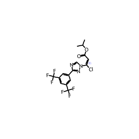 CC(C)OC(=O)/C=C(/Cl)n1cnc(-c2cc(C(F)(F)F)cc(C(F)(F)F)c2)n1